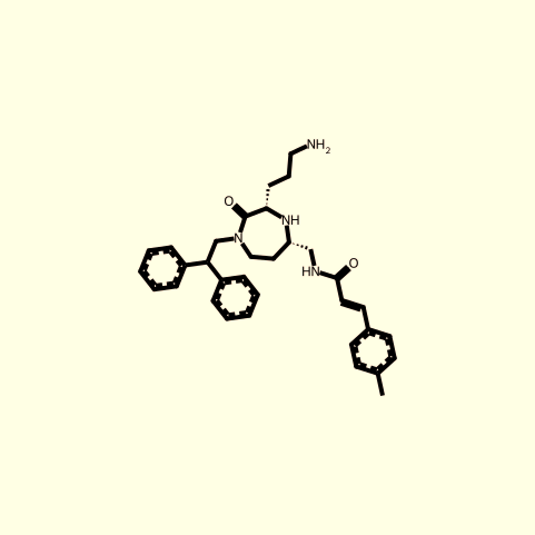 Cc1ccc(/C=C/C(=O)NC[C@@H]2CCN(CC(c3ccccc3)c3ccccc3)C(=O)[C@H](CCCN)N2)cc1